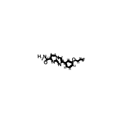 NC(=O)c1ccn2cc(-c3cccc(OCCF)c3)nc2n1